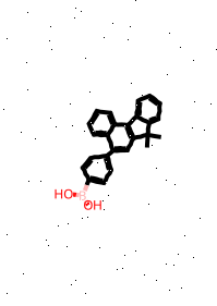 CC1(C)c2ccccc2-c2c1cc(-c1ccc(B(O)O)cc1)c1ccccc21